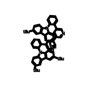 CC(C)(C)c1ccc2c(c1)c1cc(C(C)(C)C)ccc1n2-c1ccccc1-c1cncc(-c2cncc(-c3ccccc3-n3c4ccc(C(C)(C)C)cc4c4cc(C(C)(C)C)ccc43)c2)c1